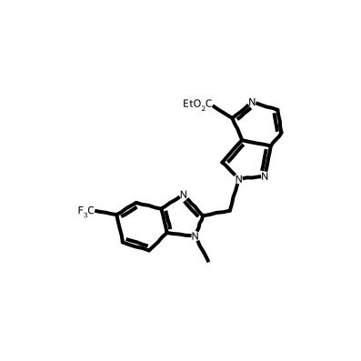 CCOC(=O)c1nccc2nn(Cc3nc4cc(C(F)(F)F)ccc4n3C)cc12